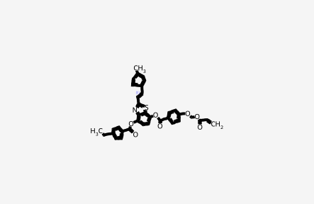 C=CC(=O)OCOc1ccc(C(=O)Oc2ccc(OC(=O)c3ccc(CC)cc3)c3nc(/C=C/c4ccc(C)cc4)sc23)cc1